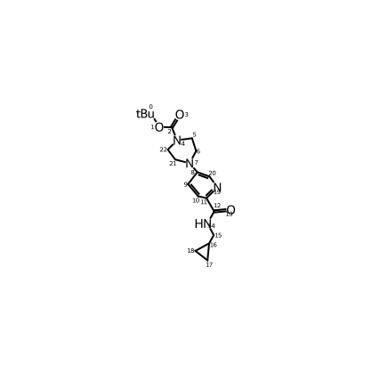 CC(C)(C)OC(=O)N1CCN(c2ccc(C(=O)NCC3CC3)nc2)CC1